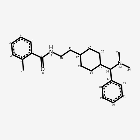 Cc1ccccc1C(=O)NCCC1CCC(C(c2ccccc2)N(C)C)CC1